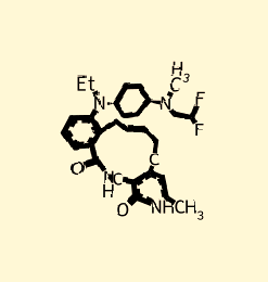 CCN(c1cccc2c1C/C=C/CCc1cc(C)[nH]c(=O)c1CNC2=O)[C@H]1CC[C@H](N(C)CC(F)F)CC1